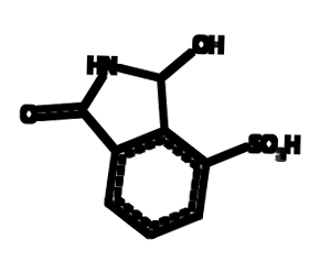 O=C1NC(O)c2c1cccc2S(=O)(=O)O